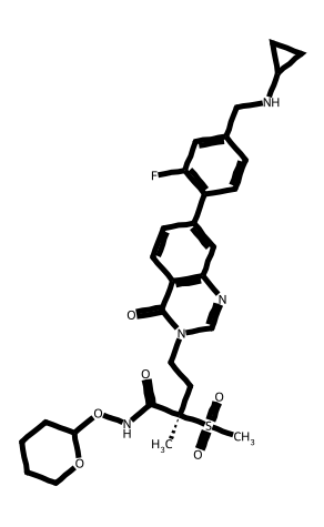 C[C@@](CCn1cnc2cc(-c3ccc(CNC4CC4)cc3F)ccc2c1=O)(C(=O)NOC1CCCCO1)S(C)(=O)=O